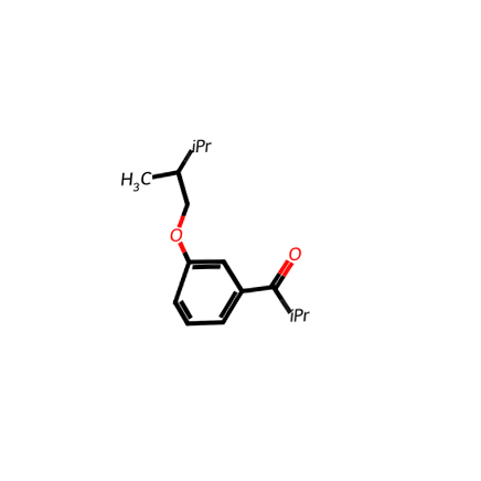 CC(C)C(=O)c1cccc(OCC(C)C(C)C)c1